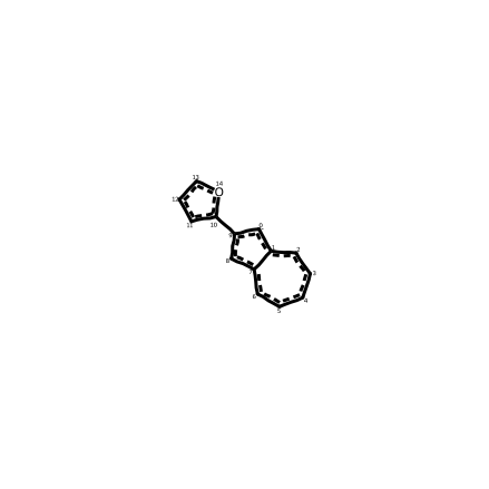 [c]1c2cccccc-2cc1-c1ccco1